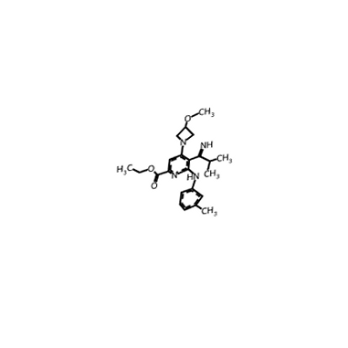 CCOC(=O)c1cc(N2CC(OC)C2)c(C(=N)C(C)C)c(Nc2cccc(C)c2)n1